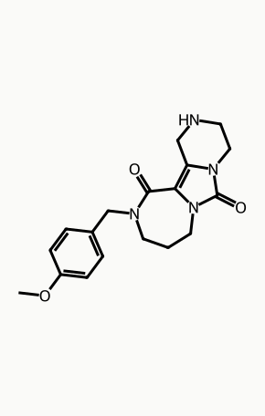 COc1ccc(CN2CCCn3c(c4n(c3=O)CCNC4)C2=O)cc1